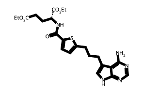 CCOC(=O)CC[C@@H](NC(=O)c1ccc(CCCc2c[nH]c3ncnc(N)c23)s1)C(=O)OCC